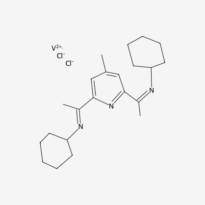 CC(=NC1CCCCC1)c1cc(C)cc(C(C)=NC2CCCCC2)n1.[Cl-].[Cl-].[V+2]